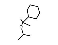 CC(C)OC(C)(C)C1CCCCC1